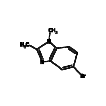 Cc1nc2cc(Br)ccc2n1C